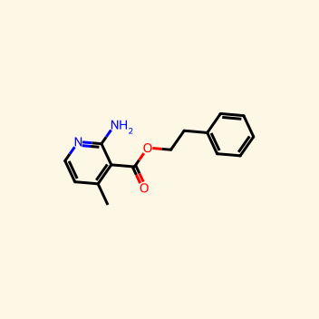 Cc1ccnc(N)c1C(=O)OCCc1ccccc1